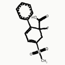 CS(=O)(=O)C1=CC=C(c2ccccc2)C(F)(C(=O)O)C1